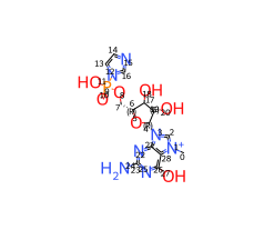 C[n+]1cn([C@@H]2O[C@H](COP(=O)(O)n3ccnc3)C(O)[C@@H]2O)c2nc(N)nc(O)c21